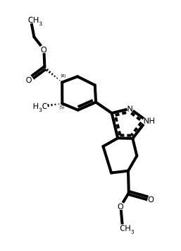 CCOC(=O)[C@@H]1CCC(c2n[nH]c3c2CCC(C(=O)OC)C3)=C[C@@H]1C